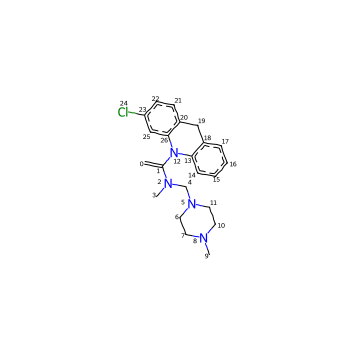 C=C(N(C)CN1CCN(C)CC1)N1c2ccccc2Cc2ccc(Cl)cc21